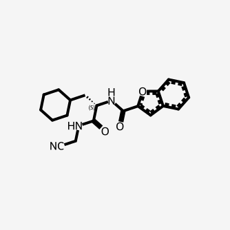 N#CCNC(=O)[C@H](CC1CCCCC1)NC(=O)c1cc2ccccc2o1